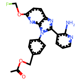 CC(=O)OCc1ccc(-n2c(-c3cccnc3N)nc3ccc(OCF)nc32)cc1